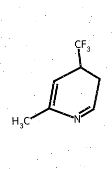 CC1=CC(C(F)(F)F)CC=N1